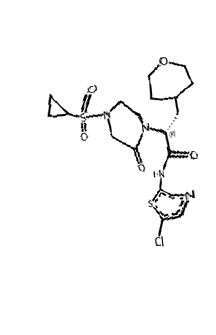 O=C(Nc1ncc(Cl)s1)[C@@H](CC1CCOCC1)N1CCN(S(=O)(=O)C2CC2)CC1=O